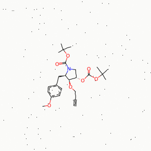 C#CCO[C@@H]1[C@@H](OC(=O)OC(C)(C)C)CN(C(=O)OC(C)(C)C)[C@@H]1Cc1ccc(OC)cc1